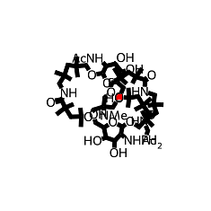 CNC(COSC(C)(C)CC(C)(C)C(=O)NCC(C)(C)CC(C)(C)COC1OC(CO)C(O)C(O)C1NC(C)=O)(COC(C)(C)CC(C)(C)C(=O)NCP)COC(C)(C)CC(C)(C)C(=O)NCC(C)(C)CC(C)(C)COC1OC(CO)C(O)C(O)C1NC(C)=O